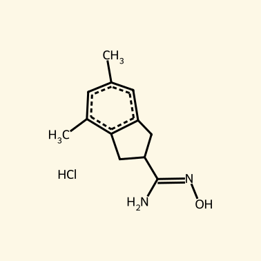 Cc1cc(C)c2c(c1)CC(/C(N)=N/O)C2.Cl